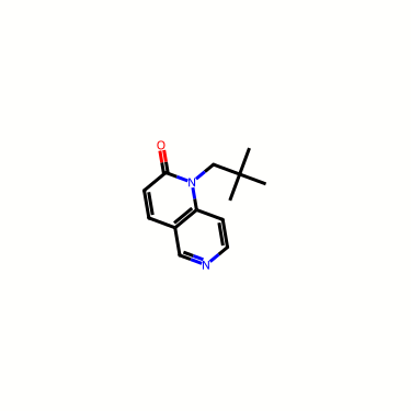 CC(C)(C)Cn1c(=O)ccc2cnccc21